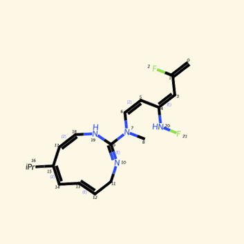 C=C(F)/C=C(\C=C/N(C)/C1=N/C/C=C/C=C(C(C)C)\C=C/N1)NF